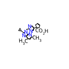 Cc1cc(C)c2nc(C3CC3)n(Cc3ncc(C4(C(=O)O)CC=CC4)cn3)c2n1